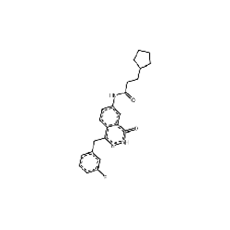 O=C(CCC1CCCC1)Nc1ccc2c(Cc3cccc(F)c3)n[nH]c(=O)c2c1